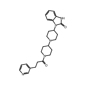 O=C(CCc1cccnc1)N1CCC(N2CCC(n3c(=O)[nH]c4ccccc43)CC2)CC1